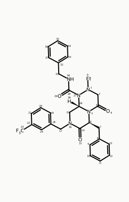 CCN1CC(=O)N2[C@@H](Cc3ccccc3)C(=O)N(Cc3cccc(C(F)(F)F)c3)C[C@@H]2N1C(=O)NCc1ccccc1